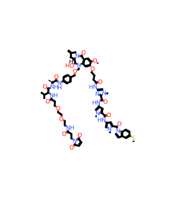 C=C1C[C@H]2C(O)N(COCc3ccc(NC(=O)[C@H](C)NC(=O)[C@@H](NC(=O)CCOCCOCCNC(=O)CCN4C(=O)C=CC4=O)C(C)C)cc3)c3cc(OCCCC(=O)Nc4cn(C)c(C(=O)Nc5cc(C(=O)Nc6cc(C(=O)n7ccc8cc(SC)ccc87)n(C)c6)n(C)c5)n4)c(OC)cc3C(=O)N2C1